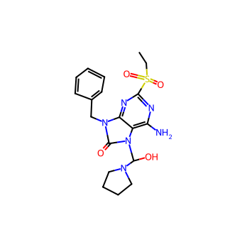 CCS(=O)(=O)c1nc(N)c2c(n1)n(Cc1ccccc1)c(=O)n2C(O)N1CCCC1